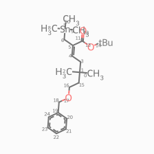 CC(C)(CC=C([CH2][Sn]([CH3])([CH3])[CH3])C(=O)OC(C)(C)C)CCOCc1ccccc1